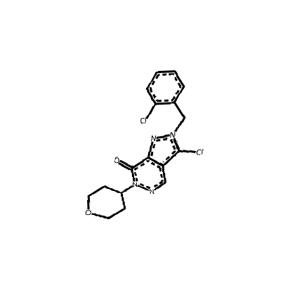 O=c1c2nn(Cc3ccccc3Cl)c(Cl)c2cnn1C1CCOCC1